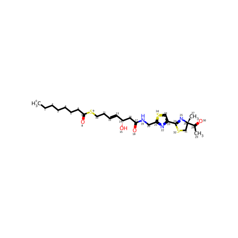 CCCCCCCC(=O)SCC/C=C/[C@@H](O)CC(=O)NCc1nc(C2=N[C@](C)(C(C)=O)CS2)cs1